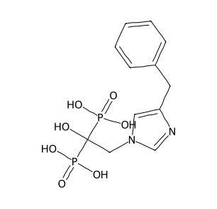 O=P(O)(O)C(O)(Cn1cnc(Cc2ccccc2)c1)P(=O)(O)O